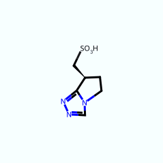 O=S(=O)(O)C[C@H]1CCn2cnnc21